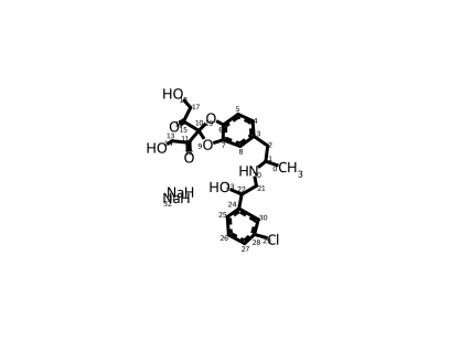 CC(Cc1ccc2c(c1)OC(C(=O)CO)(C(=O)CO)O2)NCC(O)c1cccc(Cl)c1.[NaH].[NaH]